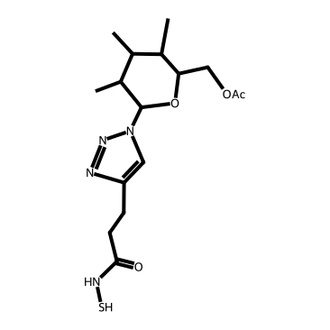 CC(=O)OCC1OC(n2cc(CCC(=O)NS)nn2)C(C)C(C)C1C